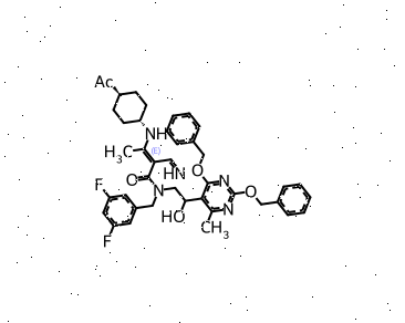 C/C(N[C@H]1CC[C@H](C(C)=O)CC1)=C(/C=N)C(=O)N(Cc1cc(F)cc(F)c1)CC(O)c1c(C)nc(OCc2ccccc2)nc1OCc1ccccc1